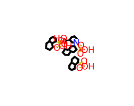 O=C(O)c1cccnc1.O=S(=O)(O)c1ccc2ccccc2c1.O=S(=O)(O)c1cccc2ccccc12.O=S(=O)(O)c1cccc2ccccc12